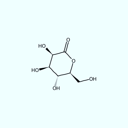 O=C1O[C@@H](CO)[C@H](O)[C@@H](O)[C@H]1O